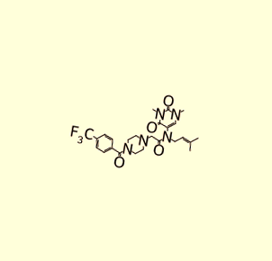 CC(C)=CCN(C(=O)CN1CCN(C(=O)c2ccc(C(F)(F)F)cc2)CC1)c1cn(C)c(=O)n(C)c1=O